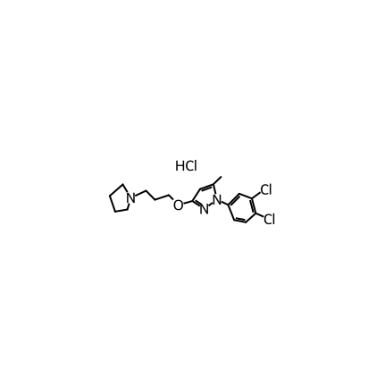 Cc1cc(OCCCN2CCCC2)nn1-c1ccc(Cl)c(Cl)c1.Cl